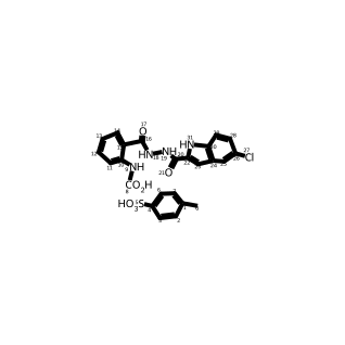 Cc1ccc(S(=O)(=O)O)cc1.O=C(O)Nc1ccccc1C(=O)NNC(=O)c1cc2cc(Cl)ccc2[nH]1